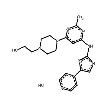 Cc1nc(Nc2ncc(-c3ccncc3)s2)cc(N2CCN(CCO)CC2)n1.Cl